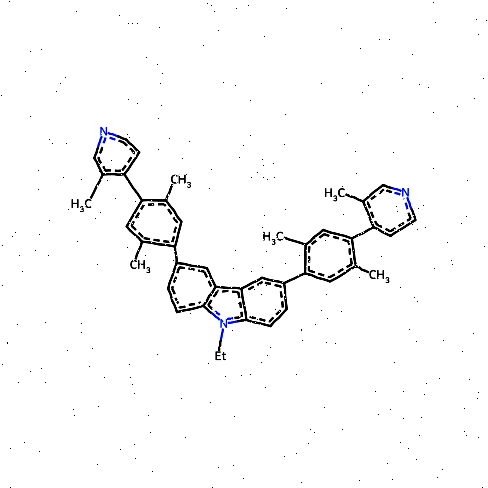 CCn1c2ccc(-c3cc(C)c(-c4ccncc4C)cc3C)cc2c2cc(-c3cc(C)c(-c4ccncc4C)cc3C)ccc21